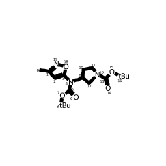 Cc1cc(N(C(=O)OC(C)(C)C)C2CCN(C(=O)OC(C)(C)C)C2)on1